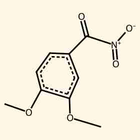 COc1ccc(C(=O)[N+](=O)[O-])cc1OC